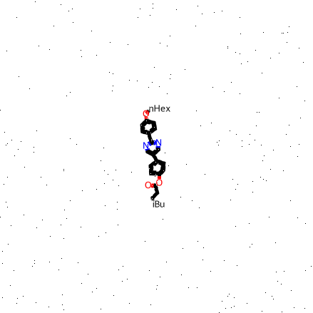 CCCCCCOc1ccc(-c2ncc(-c3ccc(OC(=O)CCC(C)CC)cc3)cn2)cc1